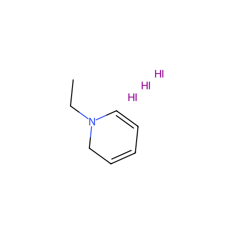 CCN1C=CC=CC1.I.I.I